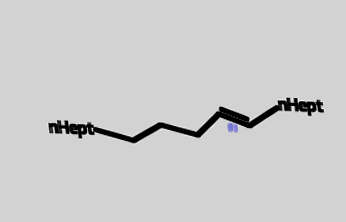 CCCCCCC/C=C/CCCCCCCCCC